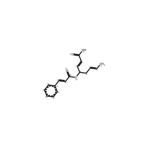 CC=CCC(C=CC(=O)O)OC(=O)C=Cc1ccccc1